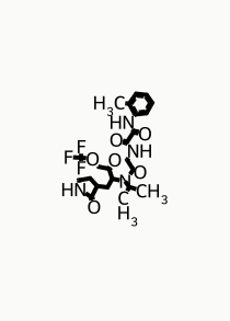 Cc1ccccc1NC(=O)C(=O)NCC(=O)N(C(C)C)C(CC1CCNC1=O)C(=O)COC(F)(F)F